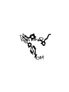 CCCCc1ccccc1C(=O)Nc1cccc(-c2cn(C)c(=O)c(Nc3ccc(N4CCN(CCO)CC4)cc3)n2)c1C